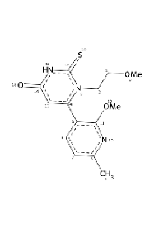 COCCn1c(-c2ccc(C)nc2OC)cc(=O)[nH]c1=S